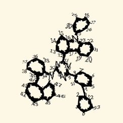 c1ccc(-c2cccc(-c3nc(-c4cccc5c4c4ccccc4n5-c4ccccc4)nc(N4c5ccccc5-c5cccc6cccc4c56)n3)c2)cc1